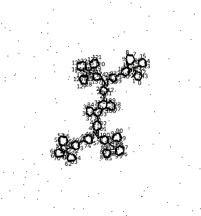 c1ccc([Si](c2ccccc2)(c2ccccc2)c2ccc(-c3ccc(N(c4ccc(-c5cc6c7ccccc7c(-c7ccc(N(c8ccc(-c9ccc([Si](c%10ccccc%10)(c%10ccccc%10)c%10ccccc%10)cc9)cc8)c8ccc([Si](c9ccccc9)(c9ccccc9)c9ccccc9)cc8)cc7)cc6c6ccccc56)cc4)c4ccc([Si](c5ccccc5)(c5ccccc5)c5ccccc5)cc4)cc3)cc2)cc1